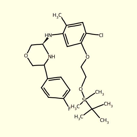 Cc1cc(Cl)c(OCCO[Si](C)(C)C(C)(C)C)cc1N[C@@H]1COCC(c2ccc(F)cc2)N1